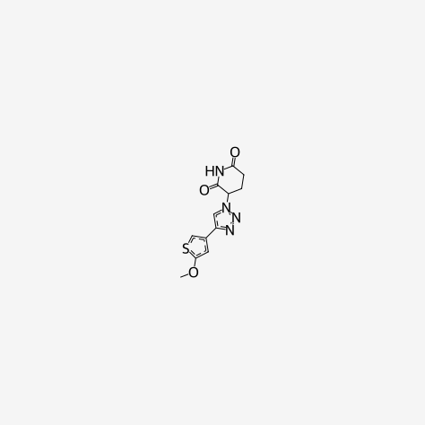 COc1cc(-c2cn(C3CCC(=O)NC3=O)nn2)cs1